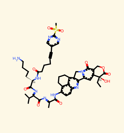 CC[C@@]1(O)C(=O)OCc2c1cc1n(c2=O)Cc2c-1nc1ccc(NC(=O)C(C)=NC(=O)C(=NC(=O)[C@H](CCCCN)NC(=O)CCCC#Cc3cnc(S(C)(=O)=O)nc3)C(C)C)c3c1c2CCC3